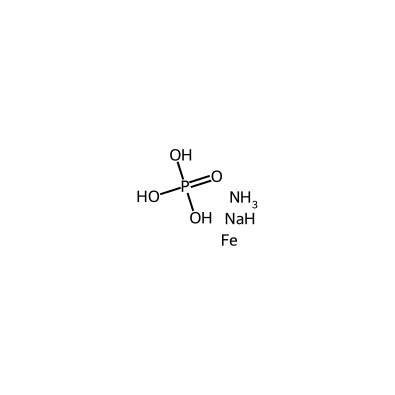 N.O=P(O)(O)O.[Fe].[NaH]